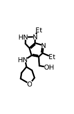 CCc1nc2c(c(NC3CCOCC3)c1CO)CNN2CC